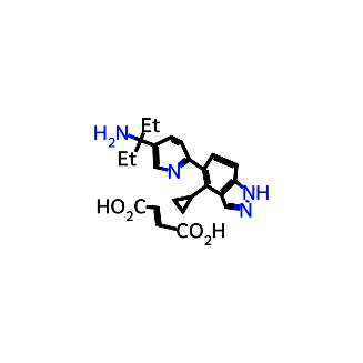 CCC(N)(CC)c1ccc(-c2ccc3[nH]ncc3c2C2CC2)nc1.O=C(O)C=CC(=O)O